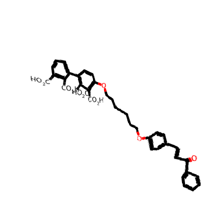 O=C(C=Cc1ccc(OCCCCCCOc2ccc(-c3cccc(C(=O)O)c3C(=O)O)c(C(=O)O)c2C(=O)O)cc1)c1ccccc1